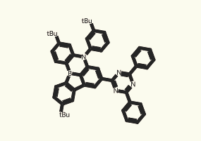 CC(C)(C)c1cccc(N2c3cc(C(C)(C)C)ccc3B3c4ccc(C(C)(C)C)cc4-c4cc(-c5nc(-c6ccccc6)nc(-c6ccccc6)n5)cc2c43)c1